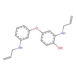 C=CCNc1cccc(Oc2ccc(O)c(NCC=C)c2)c1